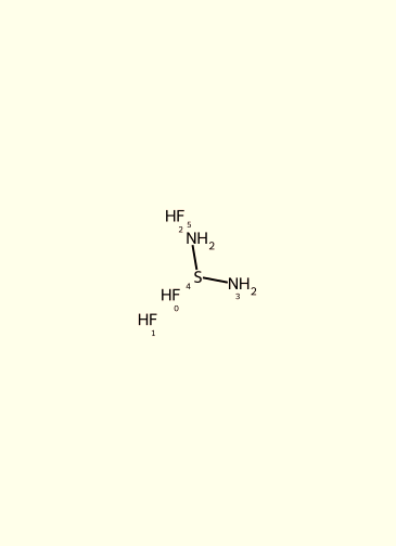 F.F.F.NSN